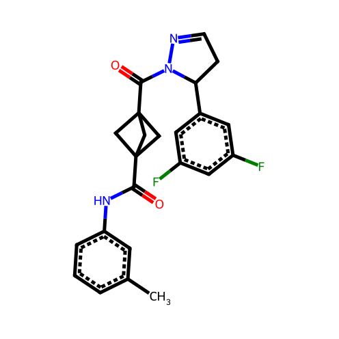 Cc1cccc(NC(=O)C23CC(C(=O)N4N=CCC4c4cc(F)cc(F)c4)(C2)C3)c1